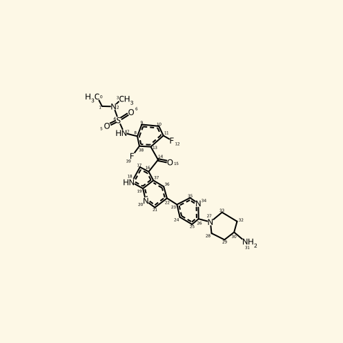 CCN(C)S(=O)(=O)Nc1ccc(F)c(C(=O)c2c[nH]c3ncc(-c4ccc(N5CCC(N)CC5)nc4)cc23)c1F